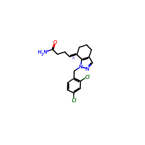 NC(=O)CC/C=C1\CCCc2cnn(Cc3ccc(Cl)cc3Cl)c21